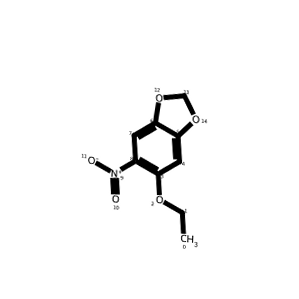 CCOc1cc2c(cc1[N+](=O)[O-])OCO2